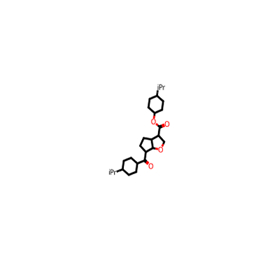 CC(C)C1CCC(OC(=O)C2COC3C(C(=O)C4CCC(C(C)C)CC4)CCC23)CC1